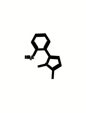 Cc1ccc(-c2ccccc2C(=O)O)n1C